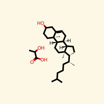 CC(C)CCC[C@@H](C)[C@H]1CC[C@H]2[C@@H]3CC=C4CC(O)CC[C@]4(C)[C@H]3CC[C@]12C.CC(O)C(=O)O